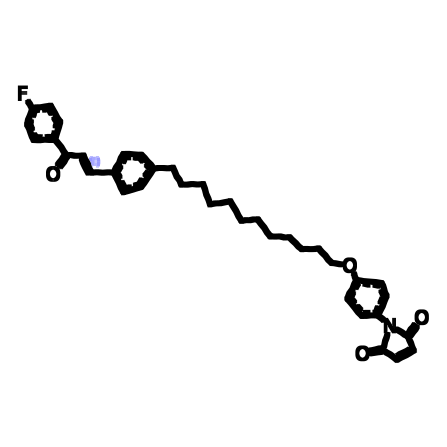 O=C(/C=C/c1ccc(CCCCCCCCCCCCOc2ccc(N3C(=O)C=CC3=O)cc2)cc1)c1ccc(F)cc1